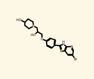 OC1CCN(CC(O)COc2ccc(-c3nc4cc(Br)cnc4[nH]3)cc2)CC1